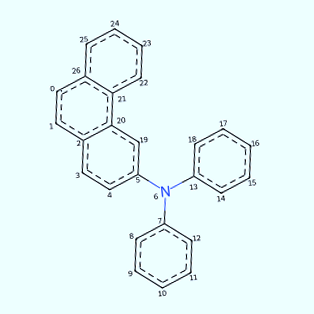 [c]1cc2ccc(N(c3ccccc3)c3ccccc3)cc2c2ccccc12